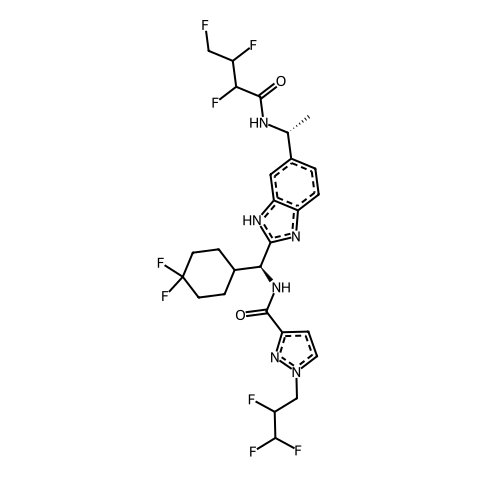 C[C@@H](NC(=O)C(F)C(F)CF)c1ccc2nc([C@@H](NC(=O)c3ccn(CC(F)C(F)F)n3)C3CCC(F)(F)CC3)[nH]c2c1